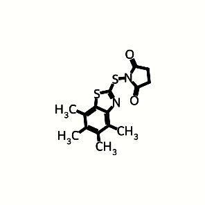 Cc1c(C)c(C)c2sc(SN3C(=O)CCC3=O)nc2c1C